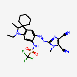 CCN1c2cc(NS(=O)(=O)C(F)(F)F)c(N=Nc3nc(C#N)c(C#N)n3C)cc2C2(CCCCC2)C1C